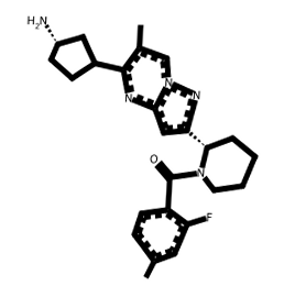 Cc1ccc(C(=O)N2CCCC[C@H]2c2cc3nc(C4CC[C@H](N)C4)c(C)cn3n2)c(F)c1